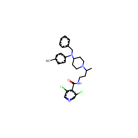 CC(CCNC(=O)c1c(Cl)cncc1Cl)N1CCC(N(Cc2ccccc2)c2ccc(C#N)cc2)CC1